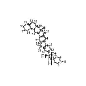 CCC(CC)(Nc1ccc(C)cc1)c1ccc2c(c1)C(C)(C)c1cc3c(cc1-2)C(C)(C)c1cc2ccc4ccccc4c2cc1-3